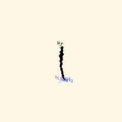 CCCCCCCCCCCCCCCCCC(N)(N)N